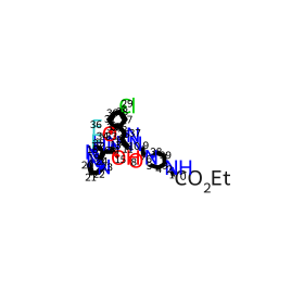 CCOC(=O)CNC1CCN(C(=O)Cn2cc(NC(O)c3cnn4cccnc34)c(-c3cc(Cl)ccc3OC(F)F)n2)CC1